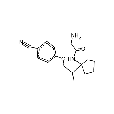 CC(COc1ccc(C#N)cc1)C1(NC(=O)CN)CCCC1